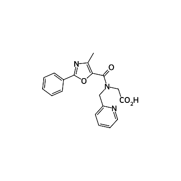 Cc1nc(-c2ccccc2)oc1C(=O)N(CC(=O)O)Cc1ccccn1